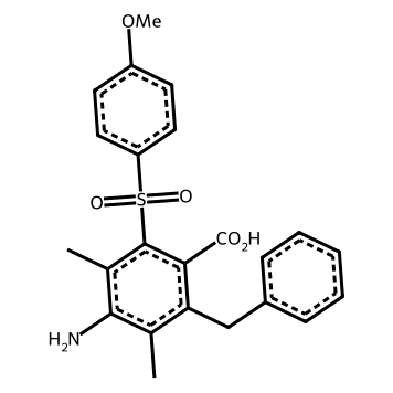 COc1ccc(S(=O)(=O)c2c(C)c(N)c(C)c(Cc3ccccc3)c2C(=O)O)cc1